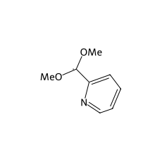 CO[C](OC)c1ccccn1